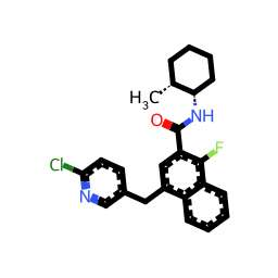 C[C@@H]1CCCC[C@@H]1NC(=O)c1cc(Cc2ccc(Cl)nc2)c2ccccc2c1F